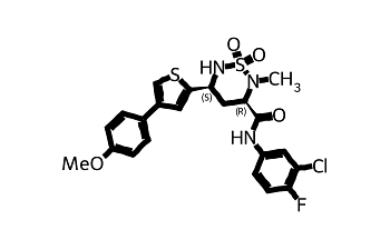 COc1ccc(-c2csc([C@@H]3C[C@H](C(=O)Nc4ccc(F)c(Cl)c4)N(C)S(=O)(=O)N3)c2)cc1